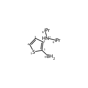 Bc1cccs1.CC(C)NC(C)C